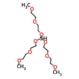 COCCOCCO[SiH](OCCOCCOC)OCCOCCOC